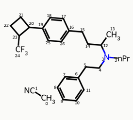 CC#N.CCCN(CCc1ccccc1)C(C)CCc1ccc(C2CCC2C(F)(F)F)cc1